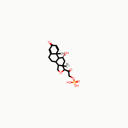 CC12C=CC(=O)C=C1CCC1C2[C@@H](O)CC2(C)C(C(=O)COP(=O)(O)O)OCC12